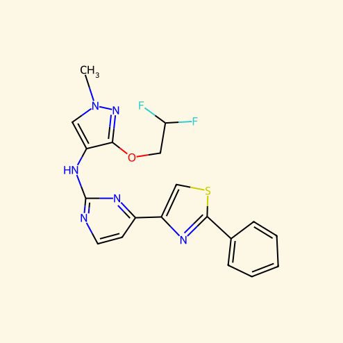 Cn1cc(Nc2nccc(-c3csc(-c4ccccc4)n3)n2)c(OCC(F)F)n1